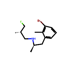 Cc1c(Br)cccc1C[C@@H](C)NC[C@H](C)CF